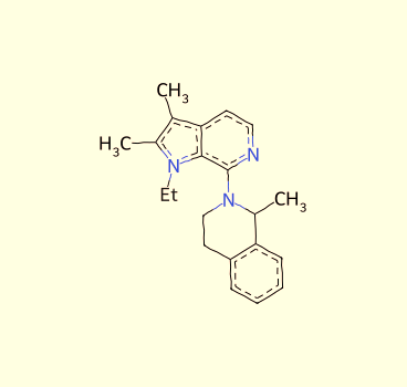 CCn1c(C)c(C)c2ccnc(N3CCc4ccccc4C3C)c21